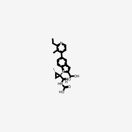 CCc1nccc(-c2ccc3c(c2)cc(C(O)O)n3[C@@]2(C(=N)NC(=O)O)C[C@@H]2C)c1C